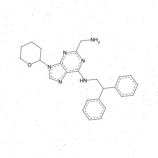 NCc1nc(NCC(c2ccccc2)c2ccccc2)c2ncn(C3CCCCO3)c2n1